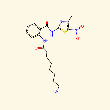 Cc1nc(NC(=O)c2ccccc2NC(=O)CCCCCCCN)sc1[N+](=O)[O-]